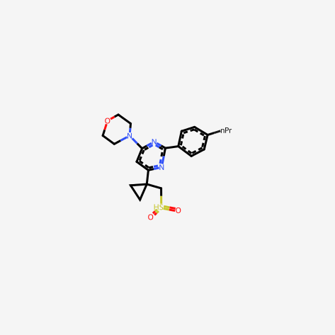 [CH2]CCc1ccc(-c2nc(N3CCOCC3)cc(C3(C[SH](=O)=O)CC3)n2)cc1